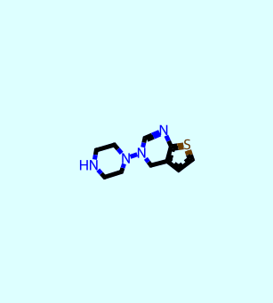 C1=Nc2sccc2CN1N1CCNCC1